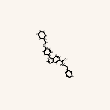 O=C(NCc1cccnc1)c1ccc2c(c1)ncn2-c1ccc(OCC2CCCCC2)cc1